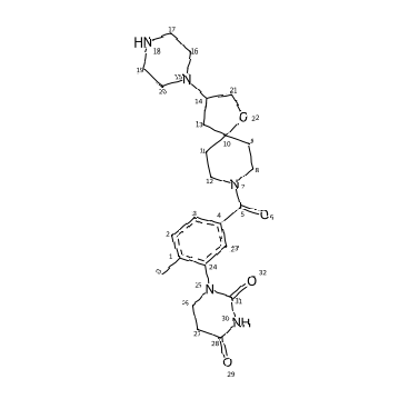 Cc1ccc(C(=O)N2CCC3(CC2)CC(N2CCNCC2)CO3)cc1N1CCC(=O)NC1=O